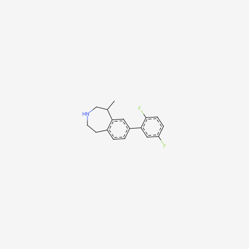 CC1CNCCc2ccc(-c3cc(F)ccc3F)cc21